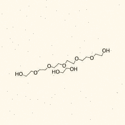 OCCO.OCCOCCOCCOCCOCCOCCO